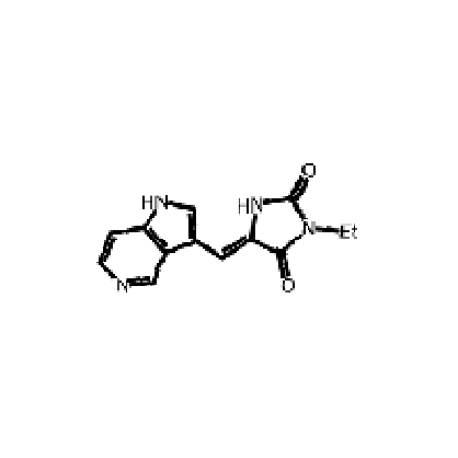 CCN1C(=O)NC(=Cc2c[nH]c3ccncc23)C1=O